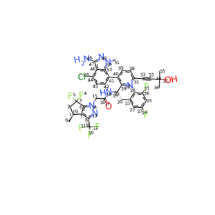 C[C@H]1CC(F)(F)c2c1c(C(F)(F)F)nn2CC(=O)N[C@@H](Cc1cc(F)cc(F)c1)c1nc(C#CC(C)(C)O)ccc1-c1ccc(Cl)c2c(N)nn(C)c12